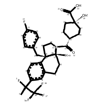 CC(F)(c1ccc2c(c1)CC[C@H]1N(C(=O)[C@H]3CC[C@](O)(C(=O)O)CC3)CC[C@@]21Cc1ccc(F)cc1)C(F)(F)F